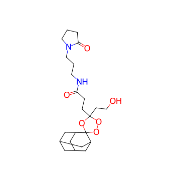 O=C(CCC1(CCO)OOC2(O1)C1CC3CC(C1)CC2C3)NCCCN1CCCC1=O